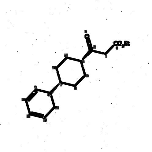 CCOC(=O)CC(=O)[C@H]1CC[C@H](C2C=CC=CC2)CC1